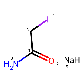 NC(=O)CI.[NaH]